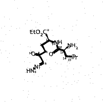 CCOC(=O)[C@H](CCC(=O)C=[N+]=N)NC(=O)[C@@H](N)CC(C)C